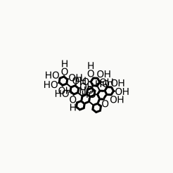 Oc1c(O)c(O)c(-c2c(O)c(O)c(-c3c4ccccc4c(-c4cccc5oc6c7c(O)c(O)c(O)c(O)c7c(-c7c(O)c(O)c(O)c(O)c7O)c(O)c6c45)c4ccccc34)c(O)c2O)c(O)c1O